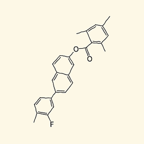 Cc1cc(C)c(C(=O)Oc2ccc3cc(-c4ccc(C)c(F)c4)ccc3c2)c(C)c1